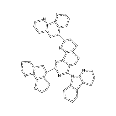 c1cnc2c(c1)cc(-c1ccc3ccc4c(-n5c6ccccc6c6cccnc65)nc(-c5cc6cccnc6c6ncccc56)nc4c3n1)c1cccnc12